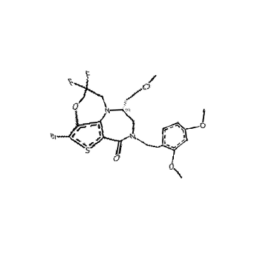 COC[C@@H]1CN(Cc2ccc(OC)cc2OC)C(=O)c2sc(Br)c3c2N1CC(F)(F)O3